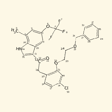 Cc1cc(OC(F)(F)F)cc2c([12C](=O)Cc3ccc(Cl)cc3OCCOCc3ccccc3)c[nH]c12